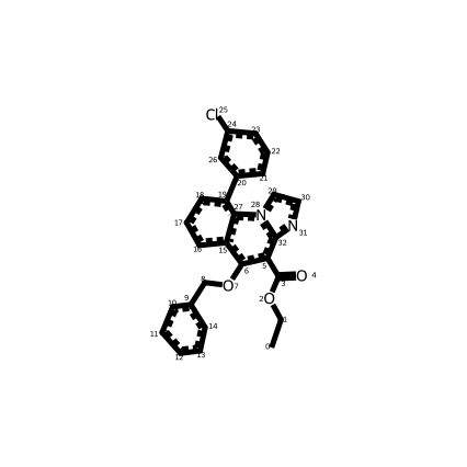 CCOC(=O)c1c(OCc2ccccc2)c2cccc(-c3cccc(Cl)c3)c2n2ccnc12